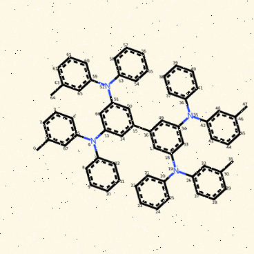 Cc1cccc(N(c2ccccc2)c2cc(-c3cc(N(c4ccccc4)c4cccc(C)c4)cc(N(c4ccccc4)c4cccc(C)c4)c3)cc(N(c3ccccc3)c3cccc(C)c3)c2)c1